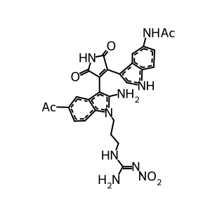 CC(=O)Nc1ccc2[nH]cc(C3=C(c4c(N)n(CCCNC(N)=N[N+](=O)[O-])c5ccc(C(C)=O)cc45)C(=O)NC3=O)c2c1